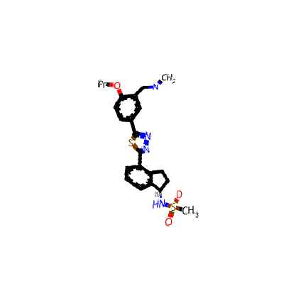 C=NCc1cc(-c2nnc(-c3cccc4c3CC[C@@H]4NS(C)(=O)=O)s2)ccc1OC(C)C